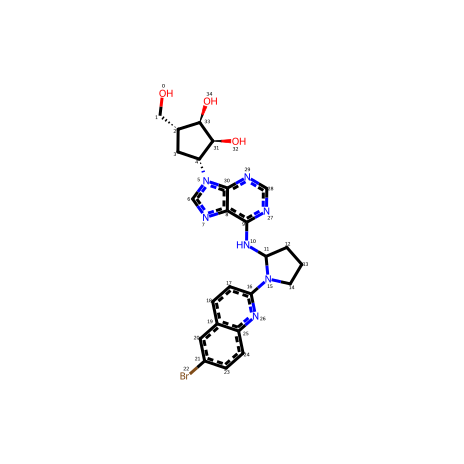 OC[C@H]1C[C@@H](n2cnc3c(NC4CCCN4c4ccc5cc(Br)ccc5n4)ncnc32)[C@H](O)[C@@H]1O